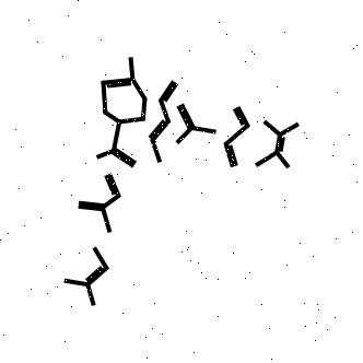 C=C(C)C.C=C(C)C1CC=C(C)CC1.C=C/C=C/C.C=CC(=C)C.C=CC=C.CC(C)=C(C)C.CC=C(C)C